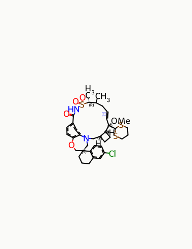 CO[C@@]1(C2SCCCS2)/C=C/CC(C)[C@@H](C)S(=O)(=O)NC(=O)c2ccc3c(c2)N(C[C@@H]2CC[C@H]21)C[C@@]1(CCCc2cc(Cl)ccc21)CO3